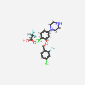 Fc1cc(Cl)ccc1COc1cc(N2CCNCC2)ccc1Cl.O=C(O)C(F)(F)F